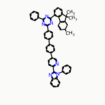 CC1C=CC2=C(C1)C(C)(C)c1cccc(-c3nc(-c4ccccc4)nc(-c4ccc(-c5ccc(-c6ccc(-c7nc8ccccc8n7-c7ccccc7)nc6)cc5)cc4)n3)c12